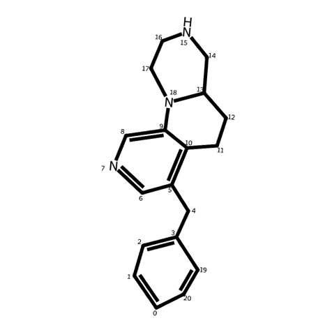 c1ccc(Cc2cncc3c2CCC2CNCCN32)cc1